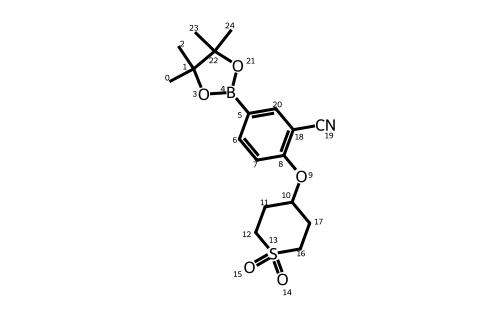 CC1(C)OB(c2ccc(OC3CCS(=O)(=O)CC3)c(C#N)c2)OC1(C)C